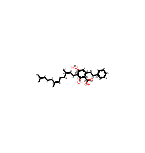 CC(C)=CCCC(C)=CCCC(C)=CCc1c(O)cc(CCc2ccccc2)c(C(=O)O)c1O